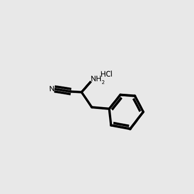 Cl.N#CC(N)Cc1ccccc1